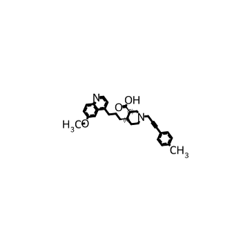 COc1ccc2nccc(CCC[C@@H]3CCN(CC#Cc4ccc(C)cc4)C[C@@H]3C(=O)O)c2c1